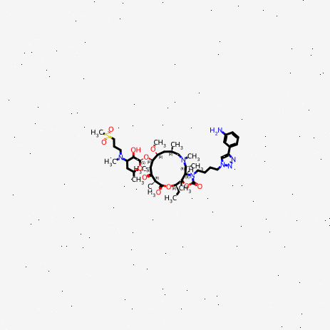 CC[C@H]1OC(=O)[C@H](C)C(=O)[C@H](C)[C@@H](O[C@@H]2OC(C)CC(N(C)CCCS(C)(=O)=O)C2O)[C@H](OC)C[C@@H](C)CN(C)[C@H](C)[C@H]2N(CCCCn3cc(-c4cccc(N)c4)nn3)C(=O)O[C@]12C